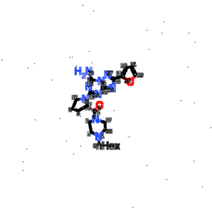 CCCCCCN1CCN(C(=O)[C@@H]2CCCN2c2nc(N)n3nc(-c4ccco4)nc3n2)CC1